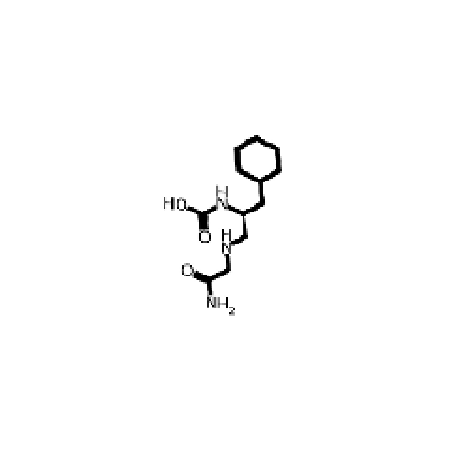 NC(=O)CNC[C@H](CC1CCCCC1)NC(=O)O